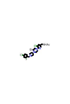 CC[C@H]1CN(c2ncc(CNC(C)=O)cc2Cl)CCN1C1CCN(Cc2ccc(Cl)cc2F)CC1